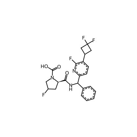 O=C(NC(c1ccccc1)c1ccc(C2CC(F)(F)C2)c(F)n1)[C@H]1CC(F)CN1C(=O)O